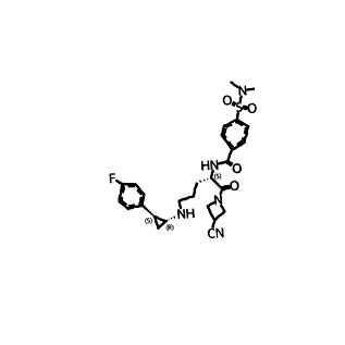 CN(C)S(=O)(=O)c1ccc(C(=O)N[C@@H](CCCN[C@@H]2C[C@H]2c2ccc(F)cc2)C(=O)N2CC(C#N)C2)cc1